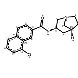 O=C(N[C@@H]1C[C@H]2CCN(C2)C1)c1ccc2cccc(Cl)c2c1